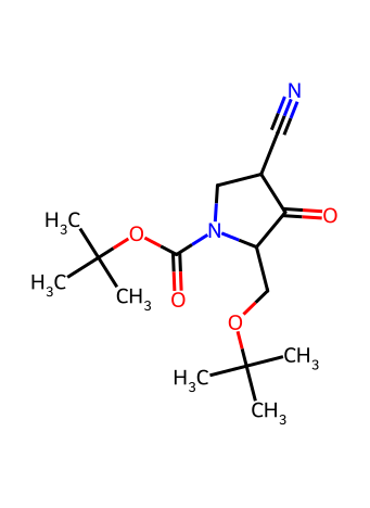 CC(C)(C)OCC1C(=O)C(C#N)CN1C(=O)OC(C)(C)C